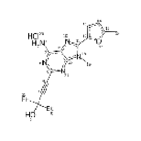 CCC(O)(C#Cc1nc(N)c2nc(-c3ccc(C)o3)n(C)c2n1)CC.Cl